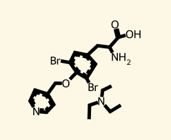 CCN(CC)CC.NC(Cc1cc(Br)c(OCc2ccncc2)c(Br)c1)C(=O)O